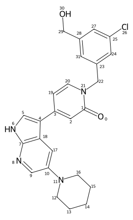 O=c1cc(-c2c[nH]c3ncc(N4CCCCC4)cc23)ccn1Cc1cc(Cl)cc(CO)c1